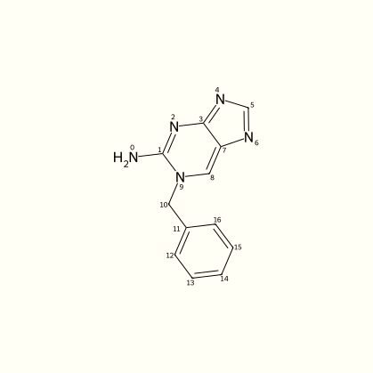 Nc1nc2ncnc-2cn1Cc1ccccc1